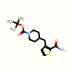 CC(C)(C)OC(=O)N1CCC(Cc2ccsc2C(N)=O)CC1